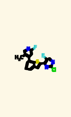 Cc1cnc(F)cc1-c1cccc2cc(-c3nc(Cl)ncc3F)sc12